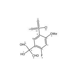 COc1cc(F)c(C(O)(C=O)C=O)cc1S(=O)(=O)Cl